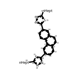 CCCCCCCc1nnc(-c2ccc3c(ccc4ccc(-c5nnc(CCCCCCC)s5)cc43)c2)s1